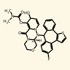 CN(C)C(=O)OC1=C2C(=O)N3CCOC[C@H]3N(C3c4ccc(F)cc4-c4ccsc4-c4ccccc43)N2C=CC1O